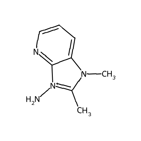 Cc1n(C)c2cccnc2[n+]1N